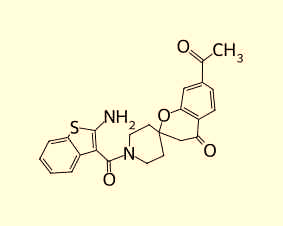 CC(=O)c1ccc2c(c1)OC1(CCN(C(=O)c3c(N)sc4ccccc34)CC1)CC2=O